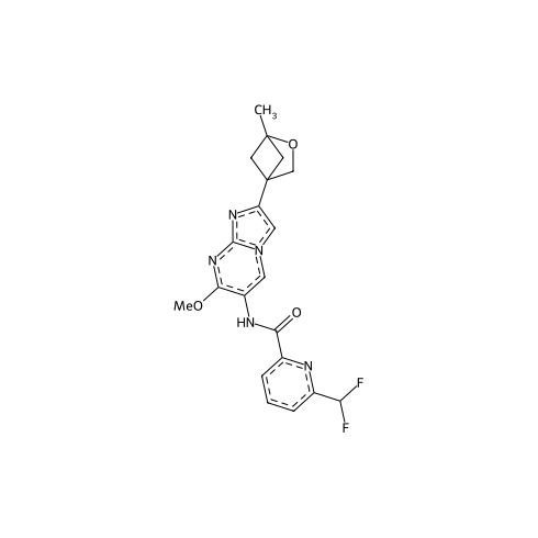 COc1nc2nc(C34COC(C)(C3)C4)cn2cc1NC(=O)c1cccc(C(F)F)n1